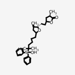 C=C1CC(CCCCC(C)(C)[Si](O)(c2ccccc2)c2ccccc2)O[C@H]1CCC1C[C@@H](C)C(=O)O1